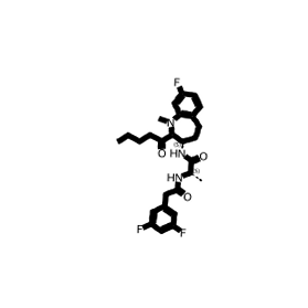 CCCCC(=O)C1[C@@H](NC(=O)[C@H](C)NC(=O)Cc2cc(F)cc(F)c2)CCc2ccc(F)cc2N1C